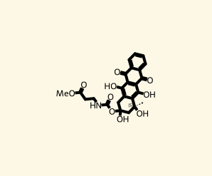 COC(=O)CCNC(=O)OC1(O)Cc2c(O)c3c(c(O)c2[C@@](C)(O)C1)C(=O)c1ccccc1C3=O